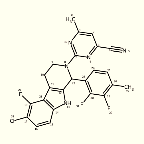 Cc1cc(C#N)nc(N2CCc3c([nH]c4ccc(Cl)c(F)c34)C2c2ccc(C)c(F)c2F)n1